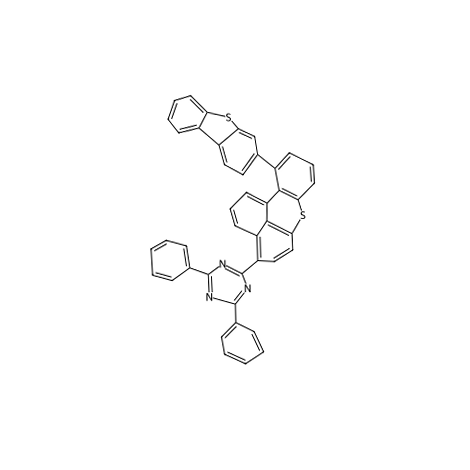 c1ccc(-c2nc(-c3ccccc3)nc(-c3ccc4c5c(cccc35)-c3c(cccc3-c3ccc5c(c3)sc3ccccc35)S4)n2)cc1